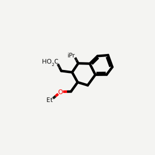 CCOCC1Cc2ccccc2C(C(C)C)C1CC(=O)O